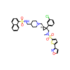 CN(C[C@@]1(c2cccc(Cl)c2)C[C@H]1CN1CCC(CNS(=O)(=O)c2cccc3ccccc23)CC1)S(=O)(=O)c1ccc(-c2ccon2)s1